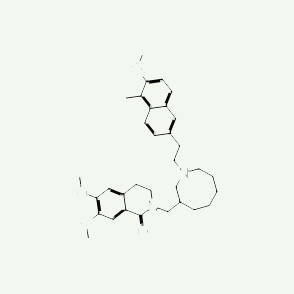 COc1cc2c(cc1OC)C(=O)N(CC1CCCCCN(CCc3ccc4c(C)c(OC)ccc4c3)C1)CC2